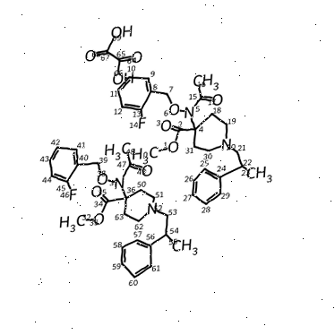 COC(=O)C1(N(OCc2ccccc2F)C(C)=O)CCN(CC(C)c2ccccc2)CC1.COC(=O)C1(N(OCc2ccccc2F)C(C)=O)CCN(CC(C)c2ccccc2)CC1.O=C(O)C(=O)O